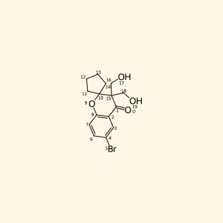 O=C1c2cc(Br)ccc2OC2(CCCC2)C1(CO)CO